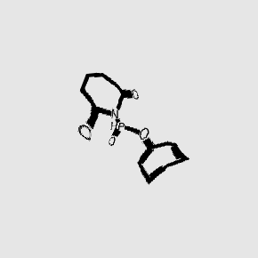 O=C1CCCC(=O)N1[PH](=O)Oc1ccccc1